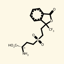 N[C@@H](CCS(=O)(=O)CCC1(C(F)(F)F)OC(=O)c2ccccc21)C(=O)O